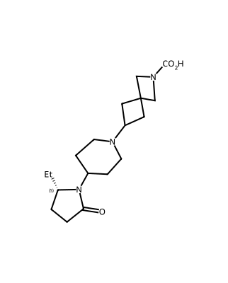 CC[C@H]1CCC(=O)N1C1CCN(C2CC3(C2)CN(C(=O)O)C3)CC1